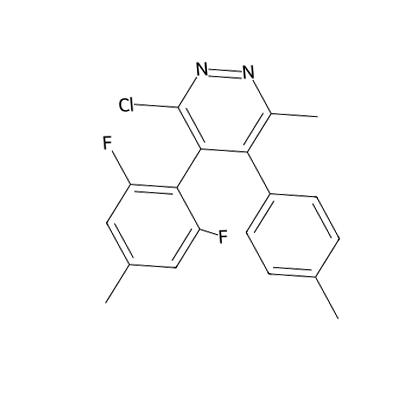 Cc1ccc(-c2c(C)nnc(Cl)c2-c2c(F)cc(C)cc2F)cc1